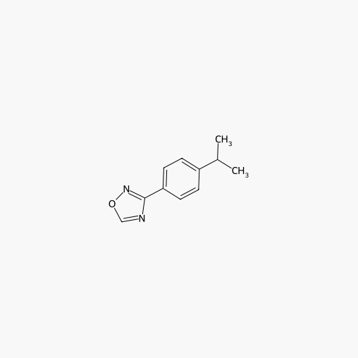 CC(C)c1ccc(-c2ncon2)cc1